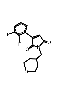 O=C1C=C(c2cccc(F)c2F)C(=O)N1CC1CCOCC1